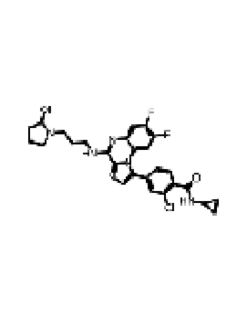 O=C(NC1CC1)c1ccc(-c2cnc3c(NCCCN4CCCC4O)nc4cc(F)c(F)cc4n23)cc1Cl